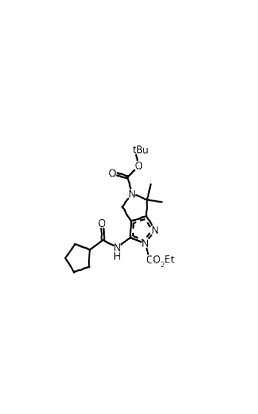 CCOC(=O)n1nc2c(c1NC(=O)C1CCCC1)CN(C(=O)OC(C)(C)C)C2(C)C